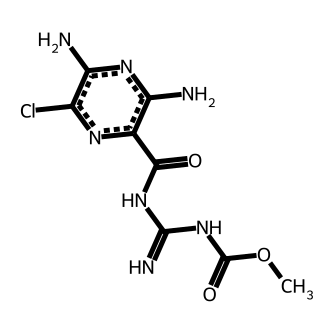 COC(=O)NC(=N)NC(=O)c1nc(Cl)c(N)nc1N